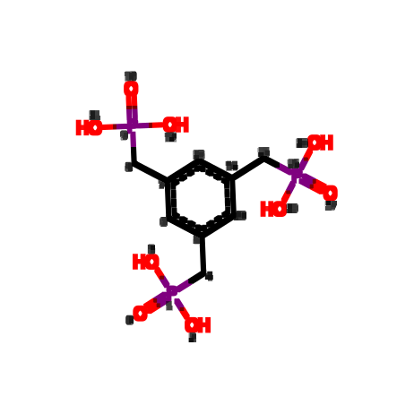 O=P(O)(O)Cc1cc(CP(=O)(O)O)cc(CP(=O)(O)O)c1